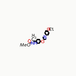 CCOc1ccc(N2CC(Oc3ccc([C@H](C)NC(=O)OC)cc3)C2)cc1